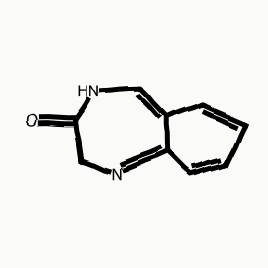 O=C1CN=c2ccccc2=CN1